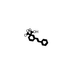 O=C(O)C1(C(=O)O)C=C(C=Cc2ccccc2)C=CC1